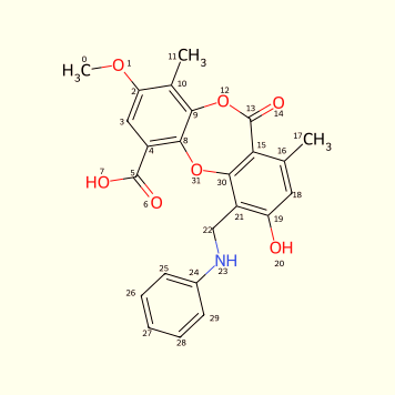 COc1cc(C(=O)O)c2c(c1C)OC(=O)c1c(C)cc(O)c(CNc3ccccc3)c1O2